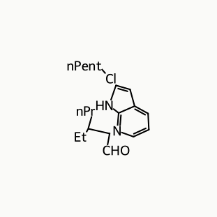 CCCC(CC)CC=O.CCCCCCl.c1cnc2[nH]ccc2c1